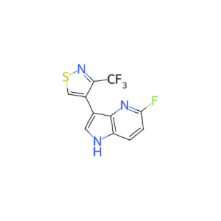 Fc1ccc2[nH]cc(-c3csnc3C(F)(F)F)c2n1